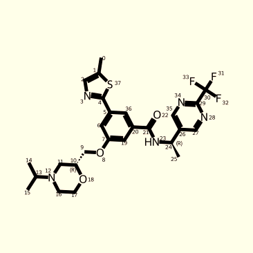 Cc1cnc(-c2cc(OC[C@H]3CN(C(C)C)CCO3)cc(C(=O)N[C@H](C)c3cnc(C(F)(F)F)nc3)c2)s1